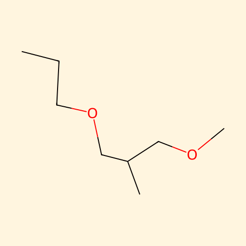 CCCOCC(C)COC